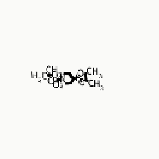 CC1OB(C2=CCN(C(=O)OC(C)(C)C)CC2)OC1C